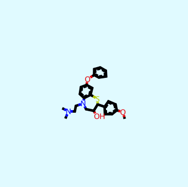 COc1ccc(C2Sc3cc(Oc4ccccc4)ccc3N(CCN(C)C)CC2O)cc1